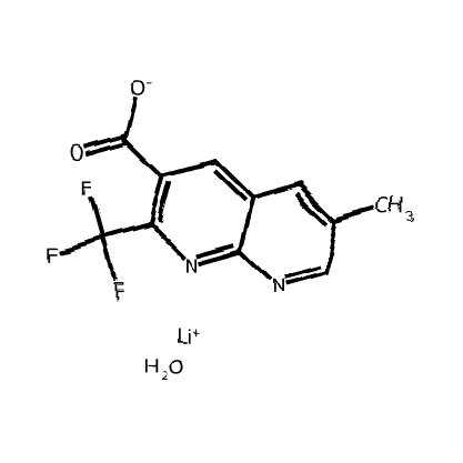 Cc1cnc2nc(C(F)(F)F)c(C(=O)[O-])cc2c1.O.[Li+]